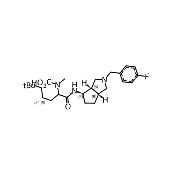 C[C@@H](CC(C(=O)N[C@@H]1CC[C@H]2CN(Cc3ccc(F)cc3)C[C@H]21)N(C)C(=O)O)CC(C)(C)C